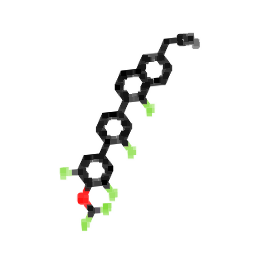 CCc1ccc2c(F)c(-c3ccc(-c4cc(F)c(OC(F)F)c(F)c4)c(F)c3)ccc2c1